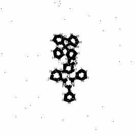 c1ccc(-c2nc(-c3ccccc3)nc(-c3ccccc3-c3ccc4sc5ccc(C6(c7ccccc7)c7ccccc7-c7ccccc76)cc5c4c3)n2)cc1